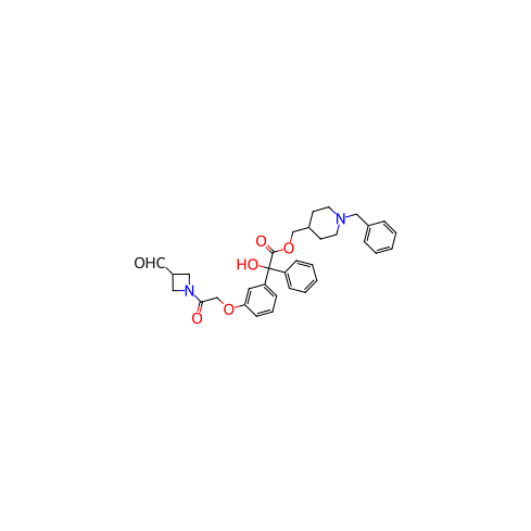 O=CC1CN(C(=O)COc2cccc(C(O)(C(=O)OCC3CCN(Cc4ccccc4)CC3)c3ccccc3)c2)C1